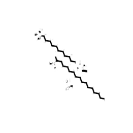 C=C[Si](C)(C)Cl.CCCCCCCCCCCCCCCC(C)N(C)C.CCCCCCCCCCC[Si](Cl)(Cl)Cl.C[SiH](C)Cl